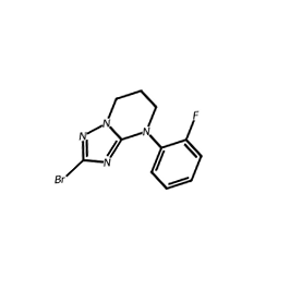 Fc1ccccc1N1CCCn2nc(Br)nc21